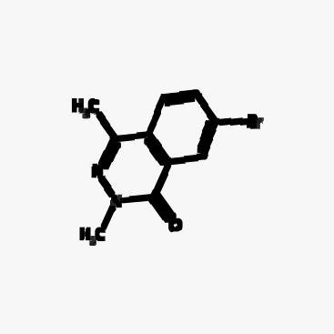 Cc1nn(C)c(=O)c2cc(Br)ccc12